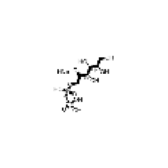 O=C(COP(=O)(O)OP(=O)(O)O)[C@@H](O)[C@H](O)[C@H](O)CO.[NaH]